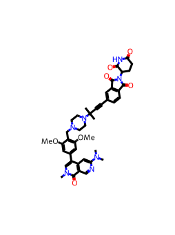 COc1cc(-c2cn(C)c(=O)c3cnc(N(C)C)cc23)cc(OC)c1CN1CCN(C(C)(C)C#Cc2ccc3c(c2)C(=O)N(C2CCC(=O)NC2=O)C3=O)CC1